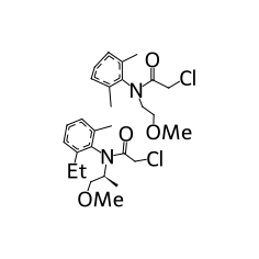 CCc1cccc(C)c1N(C(=O)CCl)[C@@H](C)COC.COCCN(C(=O)CCl)c1c(C)cccc1C